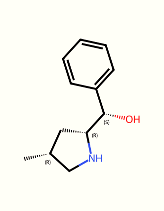 C[C@H]1CN[C@@H]([C@@H](O)c2ccccc2)C1